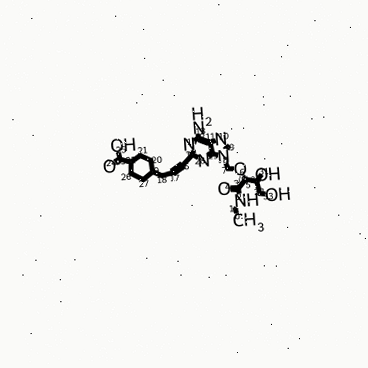 CCNC(=O)[C@@H](OCn1cnc2c(N)nc(C#CCC3CCC(C(=O)O)CC3)nc21)C(O)CO